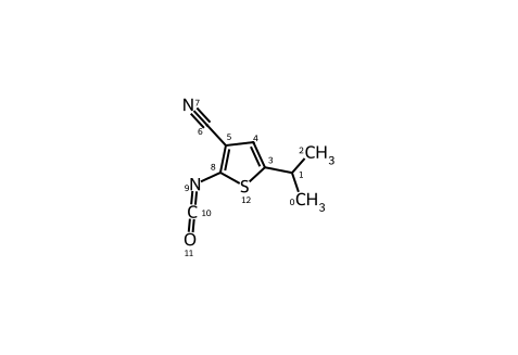 CC(C)c1cc(C#N)c(N=C=O)s1